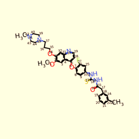 COc1cc2c(Oc3ccc(NC(=S)NC(=O)Cc4cccc(C)c4)cc3F)ccnc2cc1OCCCN1CCN(C)CC1